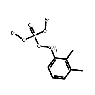 Cc1cccc([SiH2]OP(=O)(OBr)OBr)c1C